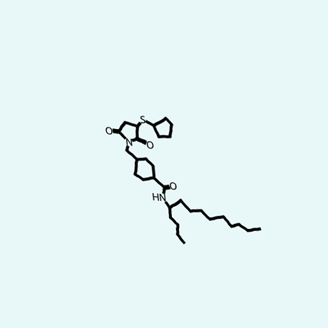 CCCCCCCCCC(CCCC)NC(=O)C1CCC(CN2C(=O)CC(SC3CCCC3)C2=O)CC1